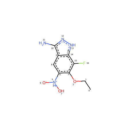 CCOc1c([NH+]([O-])O)cc2c(N)n[nH]c2c1F